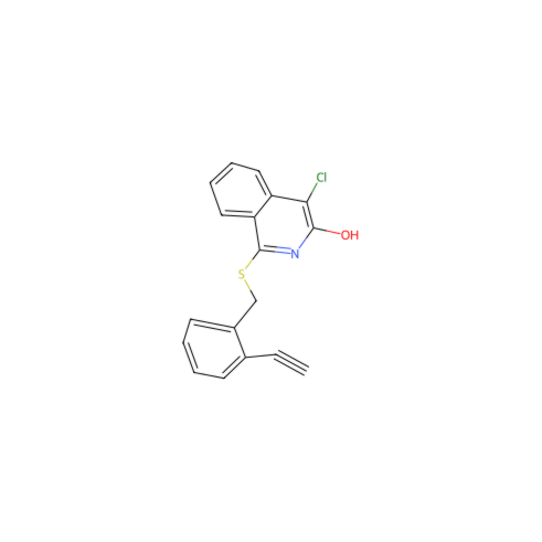 C#Cc1ccccc1CSc1nc(O)c(Cl)c2ccccc12